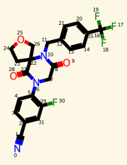 N#Cc1ccc(N2CC(=O)N(Cc3ccc(C(F)(F)F)cc3)C3(CCOC3)C2=O)c(F)c1